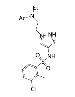 CCN(CCN1C=C(NS(=O)(=O)c2cccc(Cl)c2C)SN1)C(C)=O